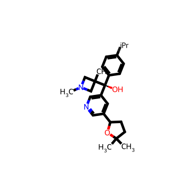 CC(C)c1ccc([C@](O)(c2cncc(C3CCC(C)(C)O3)c2)C2(C)CN(C)C2)cc1